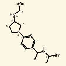 CC(NC(C)C(C)C)c1ccc(N2CC[C@@H](NCC(C)(C)C)C2)cc1